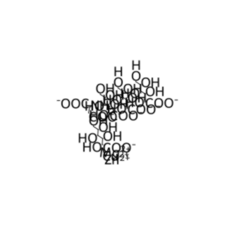 NC(CC(=O)[O-])C(=O)[O-].O=C([O-])[C@H](O)[C@@H](O)[C@H](O)[C@H](O)CO.O=C([O-])[C@H](O)[C@@H](O)[C@H](O)[C@H](O)CO.O=C([O-])[C@H](O)[C@@H](O)[C@H](O)[C@H](O)CO.O=C([O-])[C@H](O)[C@@H](O)[C@H](O)[C@H](O)CO.[Cu+2].[Mg+2].[Zn+2]